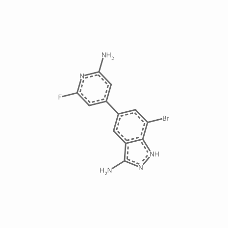 Nc1cc(-c2cc(Br)c3[nH]nc(N)c3c2)cc(F)n1